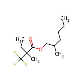 CCCCC(C)COC(=O)C(C)(CC)C(F)(F)F